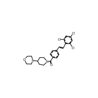 O=C(c1ccc(/C=C/c2c(Cl)cc(Cl)cc2Cl)cc1)N1CCC(N2CCOCC2)CC1